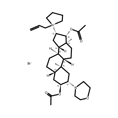 C=CC[N+]1([C@H]2C[C@H]3[C@@H]4CC[C@H]5C[C@H](OC(C)=O)[C@@H](N6CCOCC6)C[C@]5(C)[C@H]4CC[C@]3(C)[C@H]2OC(C)=O)CCCC1.[Br-]